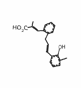 CC(=Cc1ccccc1CC=Cc1cccc(C)c1O)C(=O)O